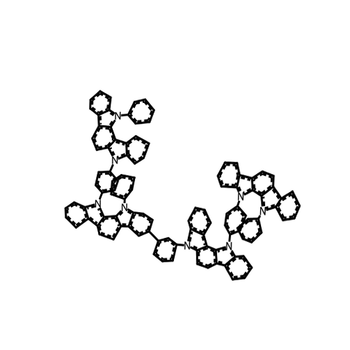 c1ccc(-n2c3ccccc3c3ccc4c(c5ccccc5n4-c4ccc(-n5c6ccccc6c6ccc7c8cc(-c9cccc(-n%10c%11ccccc%11c%11c%10ccc%10c%12ccccc%12n(-c%12ccc(-n%13c%14ccccc%14c%14ccc%15c%16ccccc%16n(-c%16ccccc%16)c%15c%14%13)cc%12)c%10%11)c9)ccc8n(-c8ccccc8)c7c65)cc4)c32)cc1